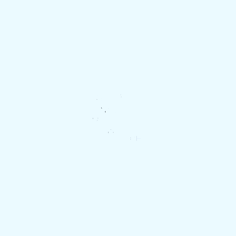 Cc1ccc(O)c(O)c1[N+](=O)[O-]